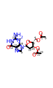 CC(=O)OC[C@H]1O[C@@H](n2cnc3c(=O)[nH]c(N)nc32)C[C@@H]1OC(C)=O